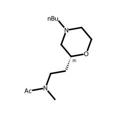 CCCCN1CCO[C@H](CCN(C)C(C)=O)C1